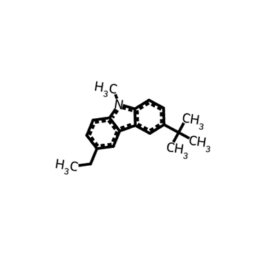 CCc1ccc2c(c1)c1cc(C(C)(C)C)ccc1n2C